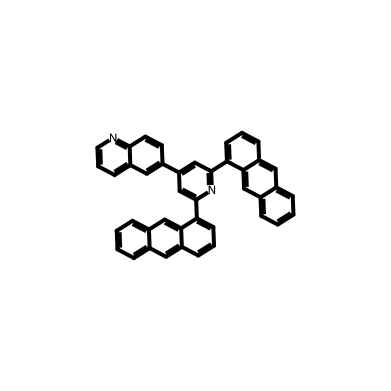 c1ccc2cc3c(-c4cc(-c5ccc6ncccc6c5)cc(-c5cccc6cc7ccccc7cc56)n4)cccc3cc2c1